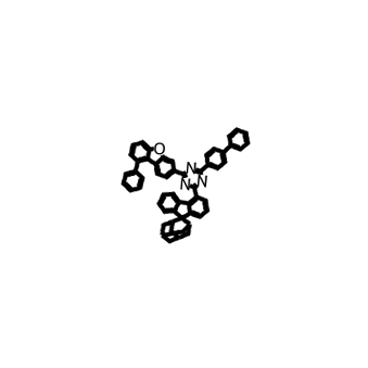 c1ccc(-c2ccc(-c3nc(-c4ccc5c(c4)oc4cccc(-c6ccccc6)c45)nc(-c4cccc5c4-c4ccccc4C54C5CC6CC(C5)CC4C6)n3)cc2)cc1